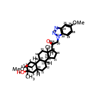 COCC[C@]12CC[C@@](C)(O)C[C@H]1CC[C@H]1[C@@H]3CC[C@H](C(=O)Cn4nnc5cc(OC)ccc54)[C@@]3(C)CC[C@@H]12